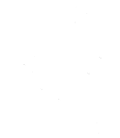 CN1CCc2ccccc2C(N2CCN(c3ccc(C(=O)O)c(Oc4cnc5c(ccn5COCC[Si](C)(C)C)c4)c3)CC2)C1=O